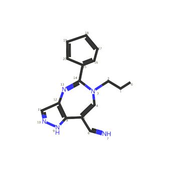 CCCN1C=C(C=N)c2[nH]ncc2N=C1c1ccccc1